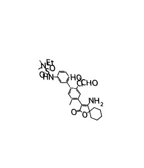 CC[N+](C)(C)S(=O)(=O)Nc1cccc(-c2cc(C)c(C3=C(N)C4(CCCCC4)OC3=O)cc2Cl)c1.O=CO